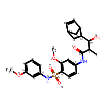 CCOc1cc(NC(=O)C(C)C(O)C2CC3C=CC2C3)ccc1S(=O)(=O)Nc1cccc(OC(F)(F)F)c1